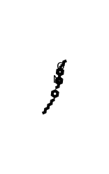 CCCCCCCC[C@H]1CC[C@H](CCc2ccc(-c3ccc(OCCC)cc3)nc2)CC1